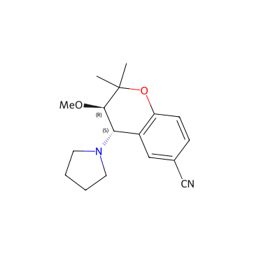 CO[C@@H]1[C@@H](N2CCCC2)c2cc(C#N)ccc2OC1(C)C